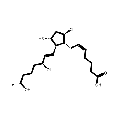 C[C@@H](O)CCC[C@H](O)/C=C/[C@@H]1[C@@H](C/C=C\CCCC(=O)O)[C@H](Cl)C[C@H]1S